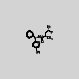 CC[C@H](F)C[C@H](C)C(=O)N[C@@H](c1ccccc1)c1ccc(C(C)C)cn1